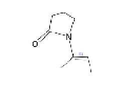 C/C=C(\C)N1CCCC1=O